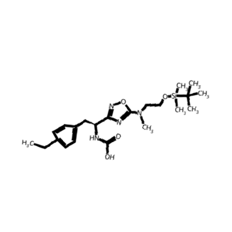 CCc1ccc(C[C@H](NC(=O)O)c2noc(N(C)CCO[Si](C)(C)C(C)(C)C)n2)cc1